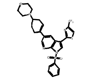 O=S(=O)(c1ccccc1)n1cc(-c2nc(C(F)(F)F)cs2)c2cc(C3=CCC(N4CCOCC4)CC3)cnc21